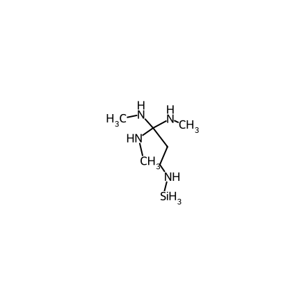 CNC(CCN[SiH3])(NC)NC